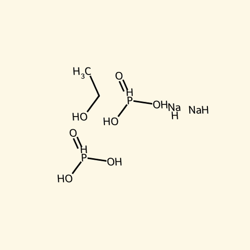 CCO.O=[PH](O)O.O=[PH](O)O.[NaH].[NaH]